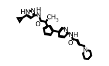 CC(C(=O)Nc1cc(C2CC2)[nH]n1)c1cccc(-c2ccc(NC(=O)/C=C/CN3CCCCC3)nc2)c1